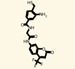 Nc1cc(C(=O)NCC(=O)Nc2ccc3c(C(F)(F)F)cc(=O)oc3c2)ccc1CS